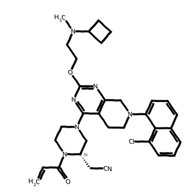 C=CC(=O)N1CCN(c2nc(OCCN(C)C3CCC3)nc3c2CCN(c2cccc4cccc(Cl)c24)C3)C[C@@H]1CC#N